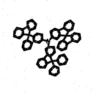 c1ccc(C2(c3ccc(N(c4ccc5c(c4)-c4ccccc4C5(c4ccccc4)c4ccccc4)c4ccc5c(c4)C4(c6ccccc6-c6ccccc64)c4ccccc4-5)cc3)c3ccccc3-c3ccccc32)cc1